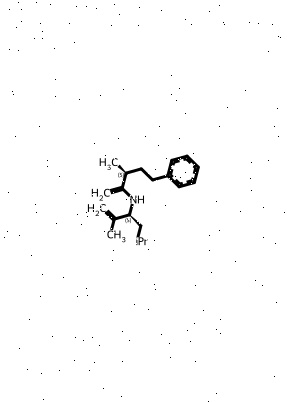 C=C(C)[C@H](CC(C)C)NC(=C)[C@@H](C)CCc1ccccc1